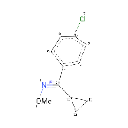 CO/N=C(/c1ccc(Cl)cc1)C1CC1